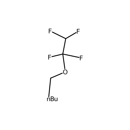 CCCCCOC(F)(F)C(F)F